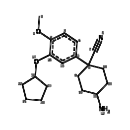 COc1ccc(C2(C#N)CCC(N)CC2)cc1OC1CCCC1